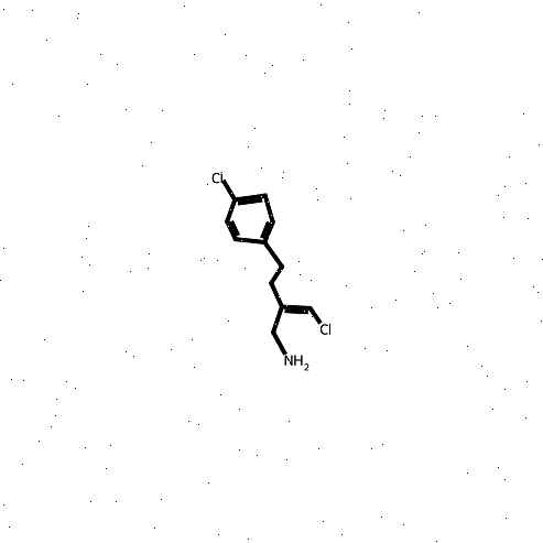 NCC(=CCl)CCc1ccc(Cl)cc1